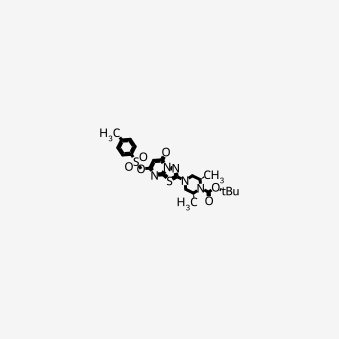 Cc1ccc(S(=O)(=O)Oc2cc(=O)n3nc(N4C[C@@H](C)N(C(=O)OC(C)(C)C)[C@@H](C)C4)sc3n2)cc1